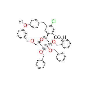 CCOc1ccc(Cc2cc([C@@H]3O[C@H](COCc4ccccc4)[C@@H](OCc4ccccc4)[C@H](OCc4ccccc4)[C@H]3OCc3ccccc3)c(C(=O)O)cc2Cl)cc1